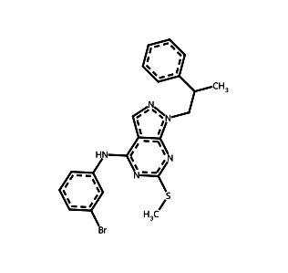 CSc1nc(Nc2cccc(Br)c2)c2cnn(CC(C)c3ccccc3)c2n1